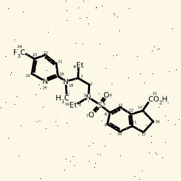 CCC(CN(CC)S(=O)(=O)c1ccc2c(c1)C(C(=O)O)CC2)N(C)c1ccc(C(F)(F)F)cn1